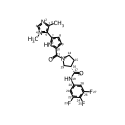 Cc1ncn(C)c1-c1ccc(C(=O)N2CC[C@H](C(=O)Nc3cc(F)c(F)c(F)c3)C2)[nH]1